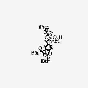 CCC(C)N[C@@](Cc1ccc(OC(=O)OC(C)CC)c(OC(=O)OC(C)CC)c1)(OC(=O)OC(C)C(C)C)C(=O)O